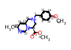 COC(=O)[C@@H]1CN(Cc2ccc(OC)cc2)CC2=C[C@H](C)N=CN21